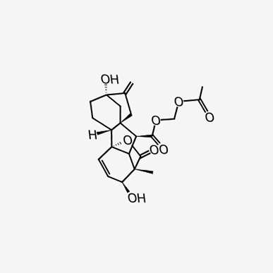 C=C1C[C@]23C[C@@]1(O)CC[C@H]2[C@@]12C=C[C@H](O)[C@@](C)(C(=O)O1)C2[C@@H]3C(=O)OCOC(C)=O